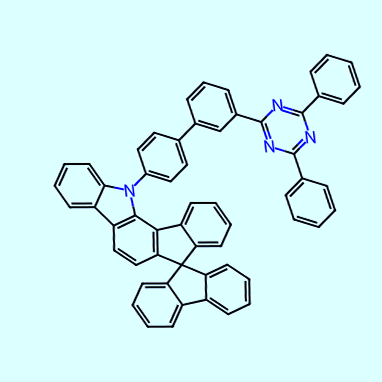 c1ccc(-c2nc(-c3ccccc3)nc(-c3cccc(-c4ccc(-n5c6ccccc6c6ccc7c(c65)-c5ccccc5C75c6ccccc6-c6ccccc65)cc4)c3)n2)cc1